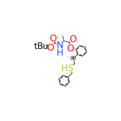 CC(NC(=O)OC(C)(C)C)C(=O)Oc1ccccc1[C@@H](C)C=[SH]Cc1ccccc1